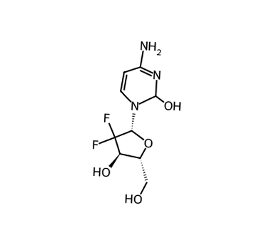 NC1=NC(O)N([C@@H]2O[C@H](CO)[C@@H](O)C2(F)F)C=C1